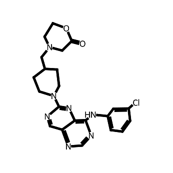 O=C1CN(CC2CCN(c3ncc4ncnc(Nc5cccc(Cl)c5)c4n3)CC2)CCO1